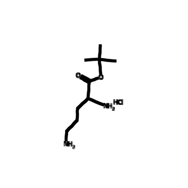 CC(C)(C)OC(=O)C(N)CCCN.Cl